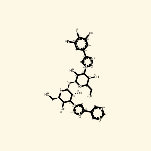 OCC1O[C@@H](S[C@@H]2O[C@H](CO)C(O)C(n3cc(-c4cncnc4)nn3)[C@H]2O)C(O)C(n2cc(-c3cc(F)c(F)c(F)c3)nn2)[C@H]1O